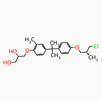 Cc1cc(C(C)(C)c2ccc(OC[C@H](C)CCl)cc2)ccc1OC[C@H](O)CO